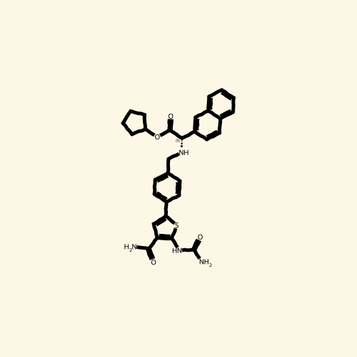 NC(=O)Nc1sc(-c2ccc(CN[C@H](C(=O)OC3CCCC3)c3ccc4ccccc4c3)cc2)cc1C(N)=O